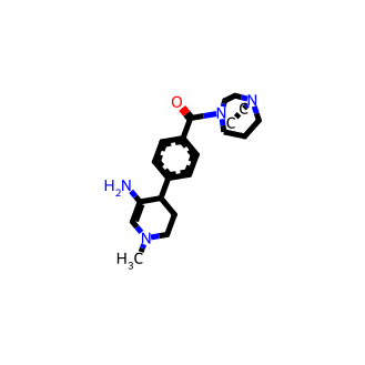 CN1C=C(N)C(c2ccc(C(=O)N3CCN4CCC3CC4)cc2)CC1